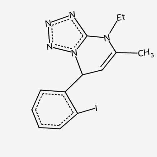 CCN1C(C)=CC(c2ccccc2I)n2nnnc21